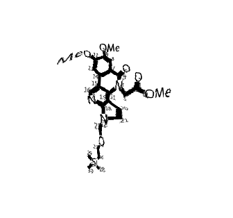 COC(=O)Cn1c(=O)c2cc(OC)c(OC)cc2c2cnc3c(ccn3COCC[Si](C)(C)C)c21